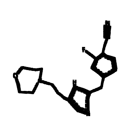 N#Cc1ccc(Cc2ncc(CCN3CCOCC3)[nH]2)cc1F